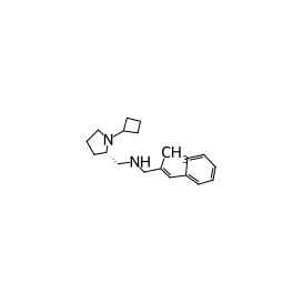 C/C(=C\c1ccccc1)CNC[C@@H]1CCCN1C1CCC1